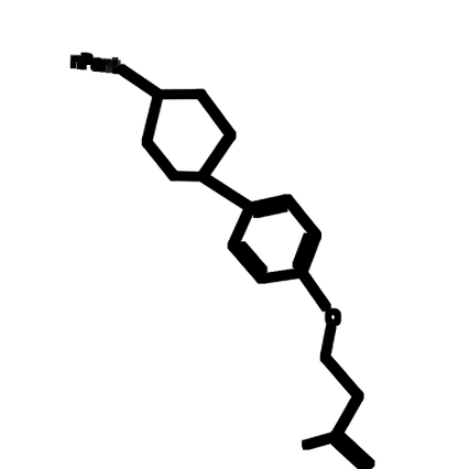 C=C(C)CCOc1ccc(C2CCC(CCCCC)CC2)cc1